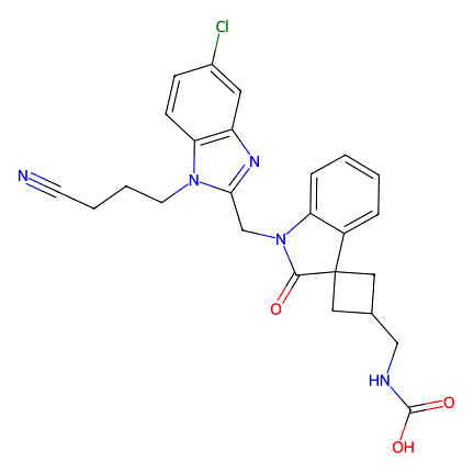 N#CCCCn1c(CN2C(=O)C3(CC(CNC(=O)O)C3)c3ccccc32)nc2cc(Cl)ccc21